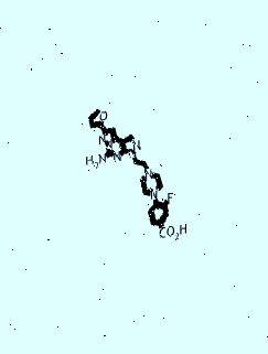 Nc1nc2c(cnn2CCN2CCN(c3ccc(C(=O)O)cc3F)CC2)c2cc(-c3ccco3)nn12